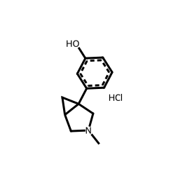 CN1CC2CC2(c2cccc(O)c2)C1.Cl